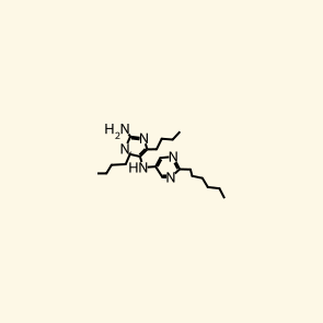 CCCCCCc1ncc(Nc2c(CCCC)nc(N)nc2CCCC)cn1